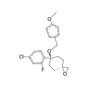 COc1ccc(CO[C@]2(c3ccc(Cl)cc3F)CC[C@]3(CC2)CO3)cc1